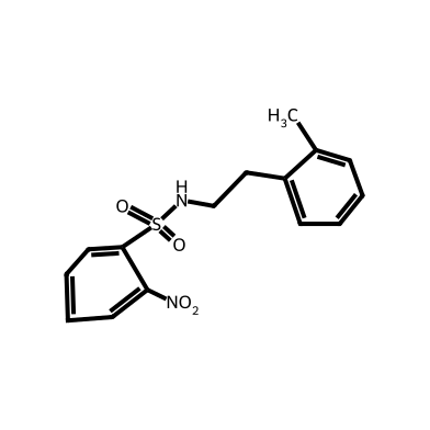 Cc1ccccc1CCNS(=O)(=O)c1ccccc1[N+](=O)[O-]